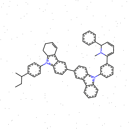 CCC(C)c1ccc(-n2c3c(c4cc(-c5ccc6c(c5)c5ccccc5n6-c5cccc(C6=CC=CC(c7ccccc7)N6C)c5)ccc42)C=CCC3)cc1